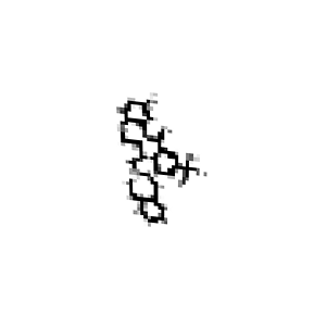 O=C(c1cccc(C(F)(F)F)c1)N1c2cc(Cl)ccc2OCC1CCN1CCc2ccccc2CC1